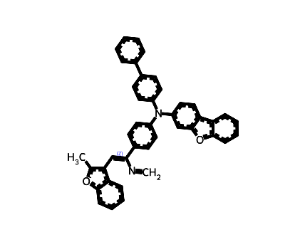 C=N/C(=C\c1c(C)oc2ccccc12)c1ccc(N(c2ccc(-c3ccccc3)cc2)c2ccc3c(c2)oc2ccccc23)cc1